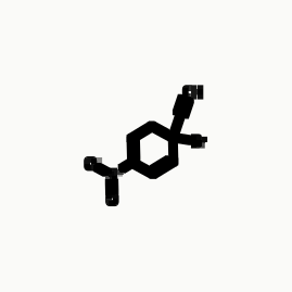 C#CC1(Br)C=CC([N+](=O)[O-])=CC1